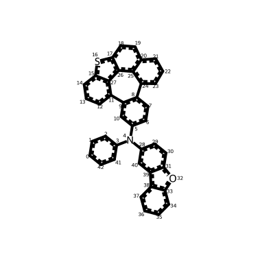 c1ccc(N(c2ccc3c(c2)-c2cccc4sc5ccc6cccc-3c6c5c24)c2ccc3oc4ccccc4c3c2)cc1